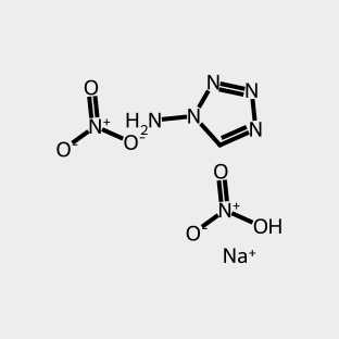 Nn1cnnn1.O=[N+]([O-])O.O=[N+]([O-])[O-].[Na+]